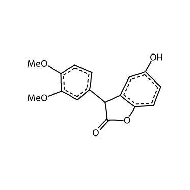 COc1ccc(C2C(=O)Oc3ccc(O)cc32)cc1OC